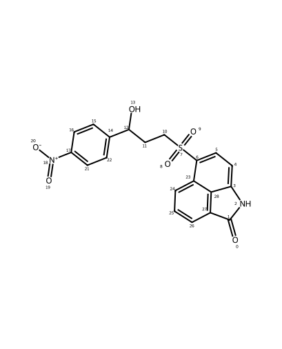 O=C1Nc2ccc(S(=O)(=O)CCC(O)c3ccc([N+](=O)[O-])cc3)c3cccc1c23